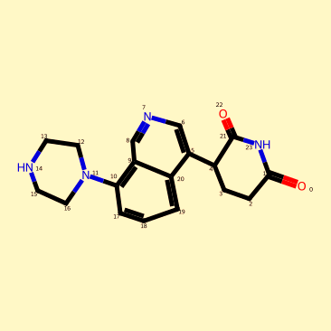 O=C1CCC(c2cncc3c(N4CCNCC4)cccc23)C(=O)N1